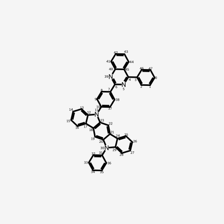 c1ccc(-c2nc(-c3ccc(-n4c5ccccc5c5cc6c(cc54)c4ccccc4n6-c4ccccc4)cc3)nc3ccccc23)cc1